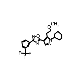 COCCc1c(-c2nc(-c3cccc(C(F)(F)F)c3)no2)cnn1C1CCCCC1